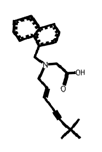 CC(C)(C)C#C/C=C/CN(CC(=O)O)Cc1cccc2ccccc12